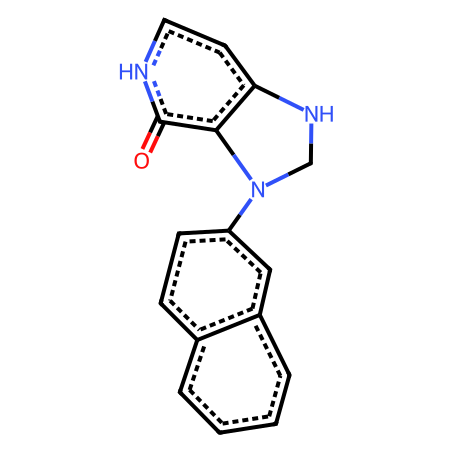 O=c1[nH]ccc2c1N(c1ccc3ccccc3c1)CN2